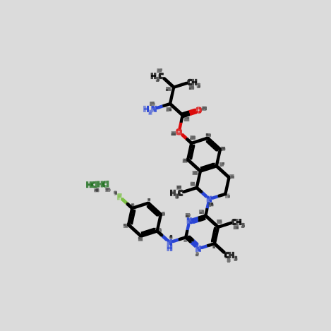 Cc1nc(Nc2ccc(F)cc2)nc(N2CCc3ccc(OC(=O)C(N)C(C)C)cc3C2C)c1C.Cl.Cl